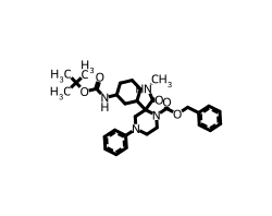 CNC(=O)C1(C2CCCC(NC(=O)OC(C)(C)C)C2)CN(c2ccccc2)CCN1C(=O)OCc1ccccc1